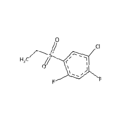 CCS(=O)(=O)c1cc(Cl)c(F)cc1F